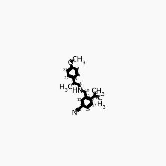 COc1ccc(C(C)CNCc2cc(C#N)ccc2C(C)C)cc1